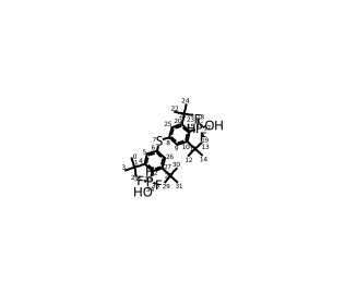 CC(C)(C)c1cc(Sc2cc(C(C)(C)C)c([PH](O)(F)F)c(C(C)(C)C)c2)cc(C(C)(C)C)c1[PH](O)(F)F